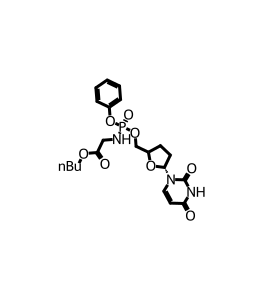 CCCCOC(=O)CNP(=O)(OCC1CC[C@H](n2ccc(=O)[nH]c2=O)O1)Oc1ccccc1